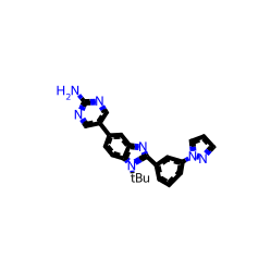 CC(C)(C)n1c(-c2cccc(-n3cccn3)c2)nc2cc(-c3cnc(N)nc3)ccc21